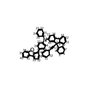 C(#CC1(c2ccccc2)c2ccccc2-c2ccc(N(c3ccccc3)c3ccc(-c4cccc5c4oc4ccccc45)cc3)cc21)C1C=CC=CC1